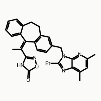 CCc1nc2c(C)cc(C)nc2n1Cc1ccc2c(c1)CCc1ccccc1C2=C(C)c1noc(=O)[nH]1